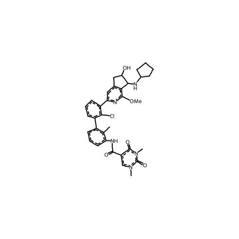 COc1nc(-c2cccc(-c3cccc(NC(=O)c4cn(C)c(=O)n(C)c4=O)c3C)c2Cl)cc2c1C(NC1CCCC1)C(O)C2